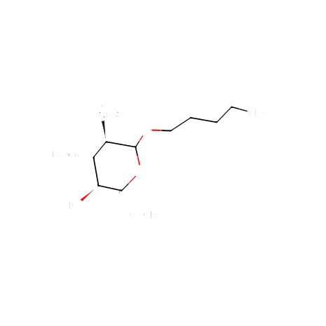 CCCCCCCCCCCCCCOC1O[C@H](C(=O)O)[C@@H](O)[C@H](O)[C@H]1NC(C)=O